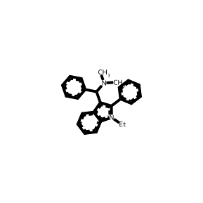 CCn1c(-c2ccccc2)c(C(c2ccccc2)N(C)C)c2ccccc21